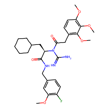 COc1cc(CNC(=O)[C@@H](CC2CCCCC2)N(C(=N)N)C(=O)Cc2ccc(OC)c(OC)c2OC)ccc1F